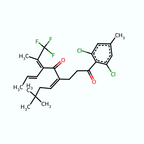 C/C=C/C(C(=O)/C(=C\CC(C)(C)C)CCC(=O)c1c(Cl)cc(C)cc1Cl)=C(\C)C(F)(F)F